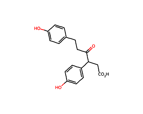 O=C(O)CC(C(=O)CCc1ccc(O)cc1)c1ccc(O)cc1